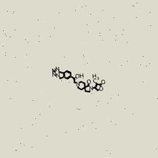 CC1=C(N2CCC3(CCN(C[C@@H](O)c4ccc5c(c4)Cn4nnnc4-5)CC3)C2=O)COC1=O